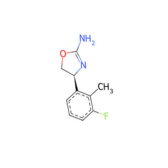 Cc1c(F)cccc1[C@H]1COC(N)=N1